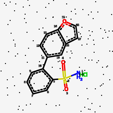 Cl.NS(=O)(=O)c1ccccc1-c1ccc2occc2c1